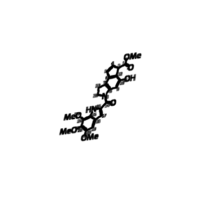 COC(=O)C1C=Cc2c3c(cc(O)c21)N(C(=O)c1cc2cc(OC)c(OC)c(OC)c2[nH]1)CC3